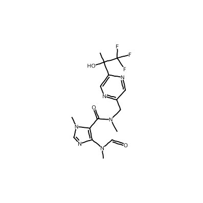 CN(Cc1cnc(C(C)(O)C(F)(F)F)cn1)C(=O)c1c(N(C)C=O)ncn1C